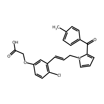 Cc1ccc(C(=O)c2cccn2C/C=C/c2cc(OCC(=O)O)ccc2Cl)cc1